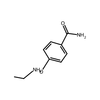 CCNOc1ccc(C(N)=O)cc1